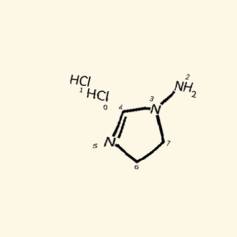 Cl.Cl.NN1C=NCC1